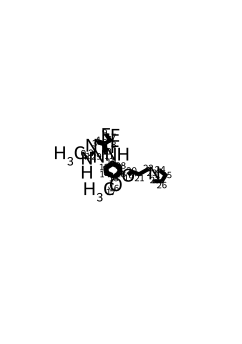 CNc1ncc(C(F)(F)F)c(Nc2ccc(OC)c(OCCCN3CCCC3)c2)n1